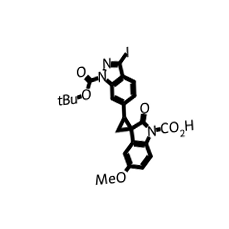 COc1ccc2c(c1)C1(CC1c1ccc3c(I)nn(C(=O)OC(C)(C)C)c3c1)C(=O)N2C(=O)O